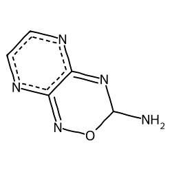 NC1N=c2nccnc2=NO1